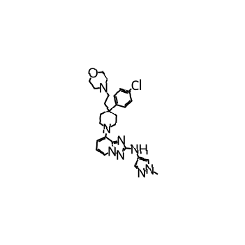 Cn1cc(Nc2nc3c(N4CCC(CCN5CCOCC5)(c5ccc(Cl)cc5)CC4)cccn3n2)cn1